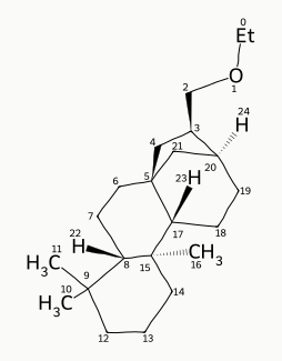 CCOC[C@@H]1C[C@]23CC[C@H]4C(C)(C)CCC[C@]4(C)[C@H]2CC[C@H]1C3